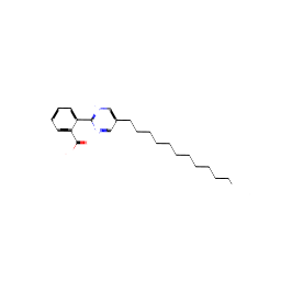 CCCCCCCCCCCCc1cnc(-c2ccccc2C(=O)O)nc1